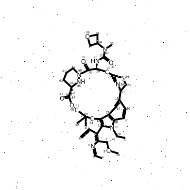 C=C/C(=C(\N=C/C)[C@H](C)OC)c1c2c3cc(ccc3n1CC)C1CSC(=N1)C[C@H](NC(=O)N(C)C1COC1)C(=O)N1CCC[C@H](N1)C(=O)OCC(C)(C)C2